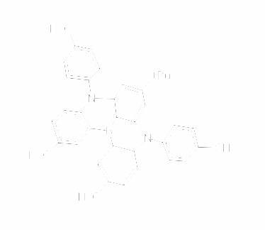 CC1=CC2B3c4cc(C)ccc4N(c4ccc(C)cc4)C4C=C(C(C)(C)C)C=C(C34)N(c3ccc(C)cc3)C2C=C1